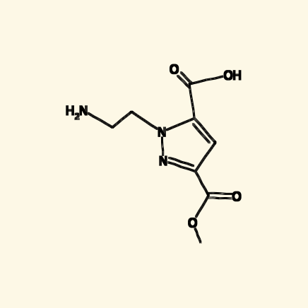 COC(=O)c1cc(C(=O)O)n(CCN)n1